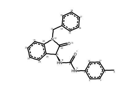 Cc1ccc(NC(=O)N[C@@H]2C(=O)N(Cc3ccccc3)c3ccccc32)cc1